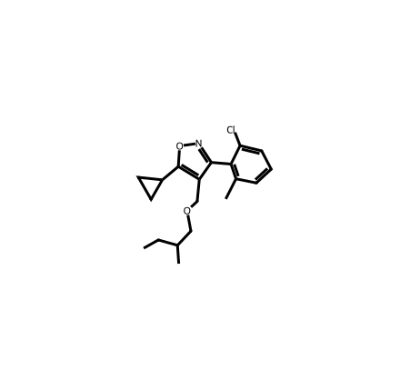 CCC(C)COCc1c(-c2c(C)cccc2Cl)noc1C1CC1